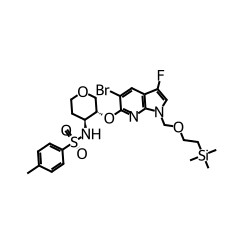 Cc1ccc(S(=O)(=O)N[C@H]2CCOC[C@@H]2Oc2nc3c(cc2Br)c(F)cn3COCC[Si](C)(C)C)cc1